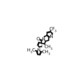 Cc1ccc(C)n1[C@@H]1C=C[C@@]2(C1)C(=O)N1Cc3cc(C(F)(F)F)cnc3CC1C2C